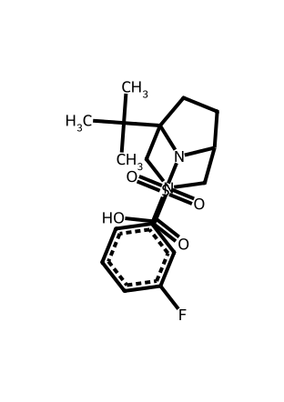 CC(C)(C)C12CCC(CN(C(=O)O)C1)N2S(=O)(=O)c1cccc(F)c1